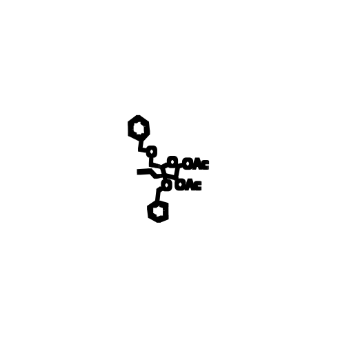 C=CC[C@@]1(OCc2ccccc2)[C@@H](COCc2ccccc2)OC(OC(C)=O)[C@@H]1OC(C)=O